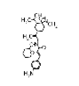 C=C[C@]1(C)CC[C@@H](C(=C)CN(OC2CCCCO2)C(=O)/C=C/c2ccc(N)cc2)C[C@H]1C(=C)C